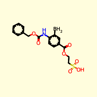 Bc1cc(C(=O)OCCS(=O)(=O)O)ccc1NC(=O)OCc1ccccc1